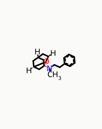 CN(CCc1ccccc1)[C@]12C[C@@H]3C[C@@H](C[C@H](C3)O1)C2